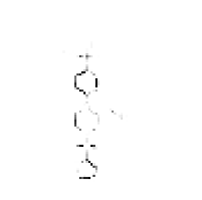 CC(C)C[C@@H]1CN(S(=O)(=O)c2cccs2)CCN1c1ccc([C@@](C)(O)C(F)(F)F)cc1